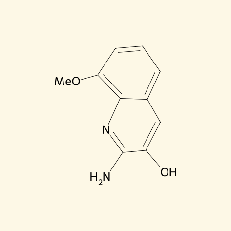 COc1cccc2cc(O)c(N)nc12